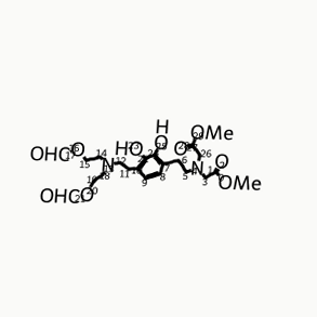 COC(=O)CN(CCc1ccc(CCN(CCOC=O)CCOC=O)c(O)c1O)CC(=O)OC